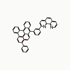 c1ccc(-c2ccc(-c3ccccc3-c3c4ccccc4c(-c4cccc(-c5ccc6ccc7cccnc7c6n5)c4)c4ccccc34)cc2)cc1